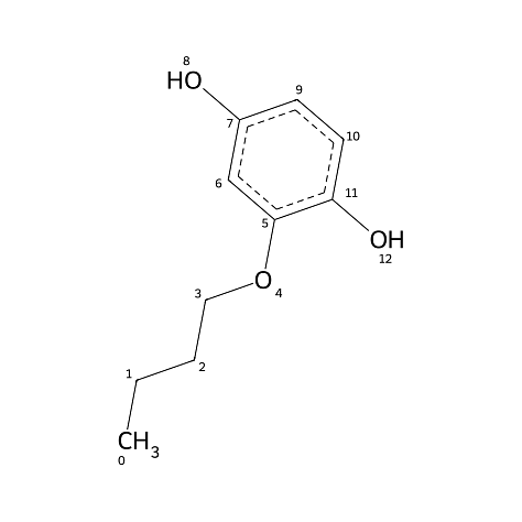 CCCCOc1cc(O)ccc1O